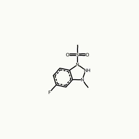 CN1NN(S(C)(=O)=O)c2ccc(F)cc21